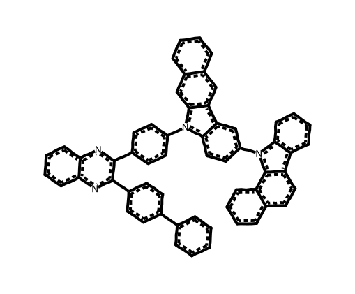 c1ccc(-c2ccc(-c3nc4ccccc4nc3-c3ccc(-n4c5ccc(-n6c7ccccc7c7ccc8ccccc8c76)cc5c5cc6ccccc6cc54)cc3)cc2)cc1